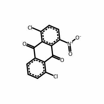 O=C1c2cccc(Cl)c2C(=O)c2c([N+](=O)[O-])ccc(Cl)c21